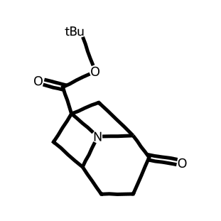 CC(C)(C)OC(=O)C12CC3CCC(=O)C(C1)N32